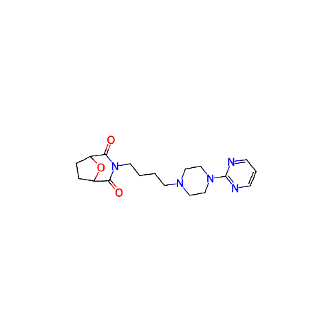 O=C1C2CCC(O2)C(=O)N1CCCCN1CCN(c2ncccn2)CC1